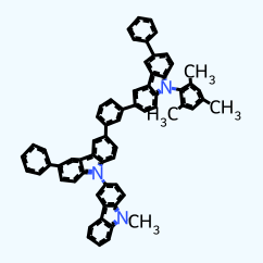 Cc1cc(C)c(-n2c3ccc(-c4ccccc4)cc3c3cc(-c4cccc(-c5ccc6c(c5)c5cc(-c7ccccc7)ccc5n6-c5ccc6c(c5)c5ccccc5n6C)c4)ccc32)c(C)c1